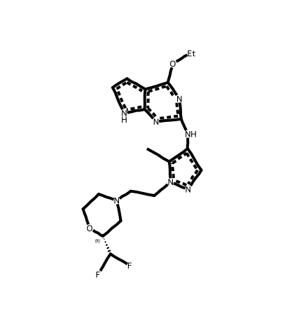 CCOc1nc(Nc2cnn(CCN3CCO[C@@H](C(F)F)C3)c2C)nc2[nH]ccc12